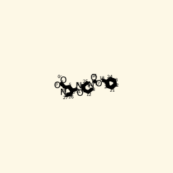 COC(=O)c1cc(-c2nc3c(o2)CCN(C(=O)OCc2ccccc2)C3)ccn1